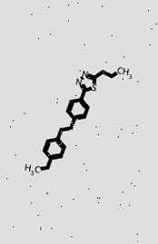 CCCc1nnc(-c2ccc(CCc3ccc(CC)cc3)cc2)s1